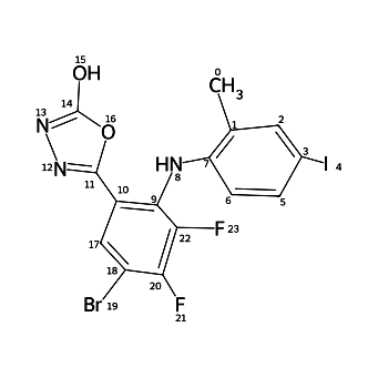 Cc1cc(I)ccc1Nc1c(-c2nnc(O)o2)cc(Br)c(F)c1F